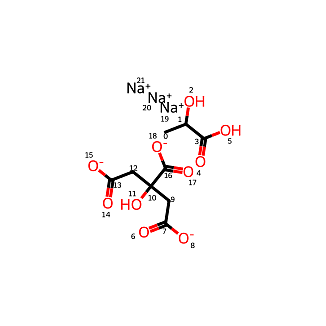 CC(O)C(=O)O.O=C([O-])CC(O)(CC(=O)[O-])C(=O)[O-].[Na+].[Na+].[Na+]